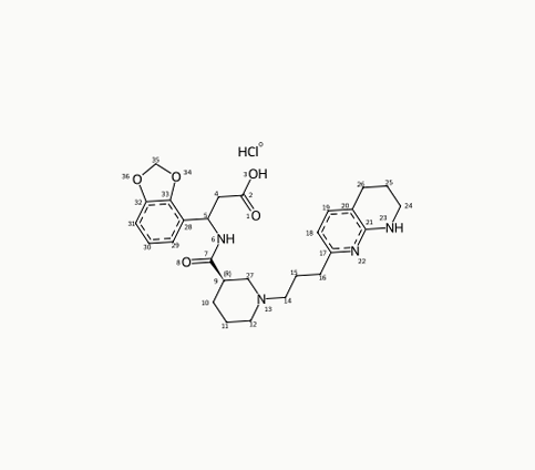 Cl.O=C(O)CC(NC(=O)[C@@H]1CCCN(CCCc2ccc3c(n2)NCCC3)C1)c1cccc2c1OCO2